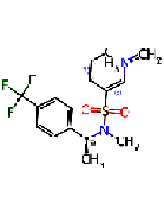 C=N/C=C(\C=C/C)S(=O)(=O)N(C)[C@@H](C)c1ccc(C(F)(F)F)cc1